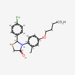 Cc1cc(OCCCC(=O)O)ccc1N1C(=O)CSC1c1ccc(F)cc1